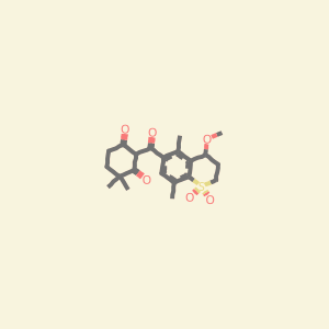 COC1CCS(=O)(=O)c2c(C)cc(C(=O)C3C(=O)CCC(C)(C)C3=O)c(C)c21